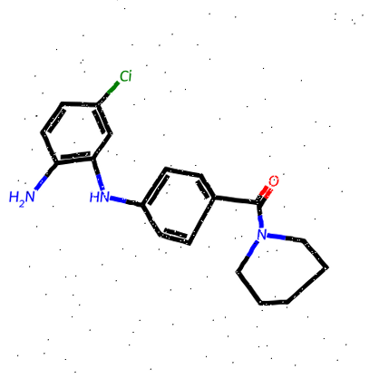 Nc1ccc(Cl)cc1Nc1ccc(C(=O)N2CCCCC2)cc1